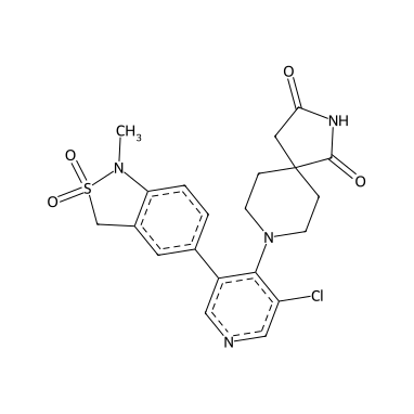 CN1c2ccc(-c3cncc(Cl)c3N3CCC4(CC3)CC(=O)NC4=O)cc2CS1(=O)=O